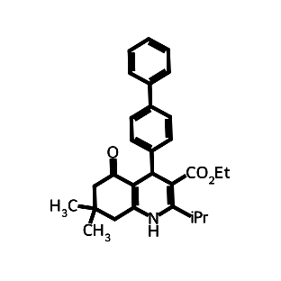 CCOC(=O)C1=C(C(C)C)NC2=C(C(=O)CC(C)(C)C2)C1c1ccc(-c2ccccc2)cc1